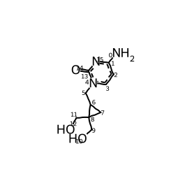 Nc1ccn(CC2CC2(CO)CO)c(=O)n1